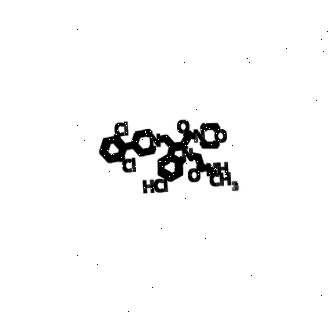 CNC(=O)Cn1c(C(=O)N2CCOCC2)c(CN2CCC(c3c(Cl)cccc3Cl)CC2)c2ccccc21.Cl